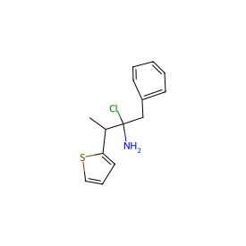 CC(c1cccs1)C(N)(Cl)Cc1ccccc1